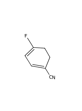 N#CC1=CC=C(F)CC1